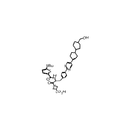 CC(C)(C)c1ccc(C(=O)NC(Cc2ccc(-c3ncc(C4=CCC(C5CCC(CO)CC5)CC4)cn3)cc2)C(=O)N2CC(C(=O)O)C2)s1